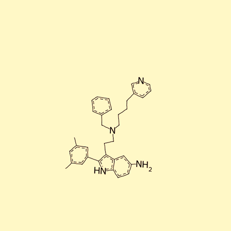 Cc1cc(C)cc(-c2[nH]c3ccc(N)cc3c2CCN(CCCCc2cccnc2)Cc2ccccc2)c1